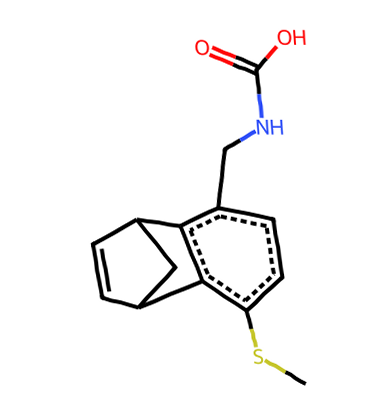 CSc1ccc(CNC(=O)O)c2c1C1C=CC2C1